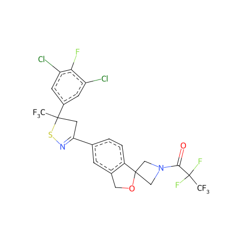 O=C(N1CC2(C1)OCc1cc(C3=NSC(c4cc(Cl)c(F)c(Cl)c4)(C(F)(F)F)C3)ccc12)C(F)(F)C(F)(F)F